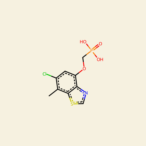 Cc1c(Cl)cc(OCP(=O)(O)O)c2ncsc12